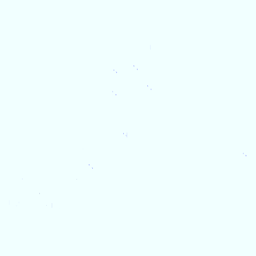 Cn1nnc(C(c2ccc(C#N)cc2)N2CCN(C(=O)OC(C)(C)C)CC2)n1